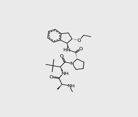 CCO[C@H]1Cc2ccccc2[C@@H]1NC(=O)[C@@H]1CCCN1C(=O)[C@@H](NC(=O)[C@H](C)NC)C(C)(C)C